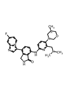 C[C@H]1COCN(c2ccc(Nc3ccc(-c4cnc5cc(F)ccn45)c4c3C(=O)NC4)nc2CN(C)C)C1